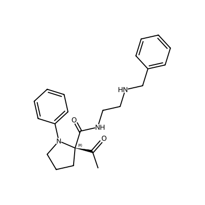 CC(=O)[C@@]1(C(=O)NCCNCc2ccccc2)CCCN1c1ccccc1